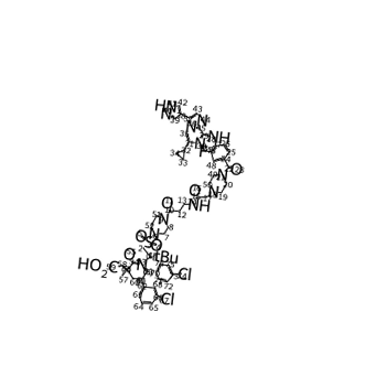 CC(C)(C)[C@@H](CS(=O)(=O)N1CCN(C(=O)CCNC(=O)CN2CCN(C(=O)c3ccc(Nc4nc(C5CC5)cn5c(-c6cn[nH]c6)cnc45)c(F)c3)CC2)CC1)N1C(=O)[C@@](C)(CC(=O)O)C[C@H](c2cccc(Cl)c2)[C@H]1c1ccc(Cl)cc1